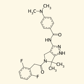 CN(C)c1ccc(C(=O)Nc2n[nH]c3c2CN(C(=O)Cc2c(F)cccc2F)C3(C)C)cc1